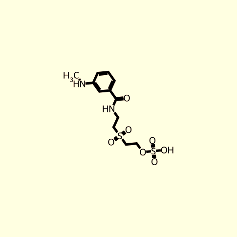 CNc1cccc(C(=O)NCCS(=O)(=O)CCOS(=O)(=O)O)c1